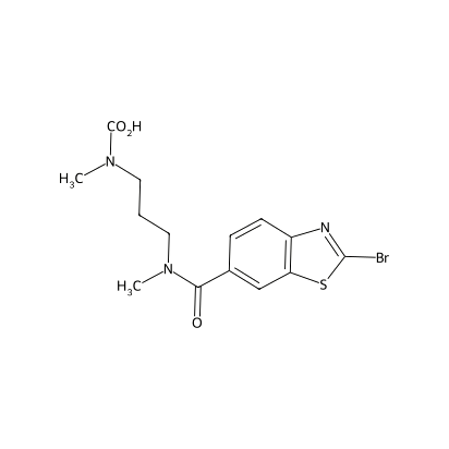 CN(CCCN(C)C(=O)c1ccc2nc(Br)sc2c1)C(=O)O